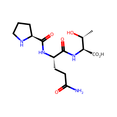 C[C@@H](O)[C@H](NC(=O)[C@H](CCC(N)=O)NC(=O)[C@@H]1CCCN1)C(=O)O